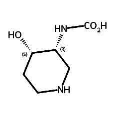 O=C(O)N[C@@H]1CNCC[C@@H]1O